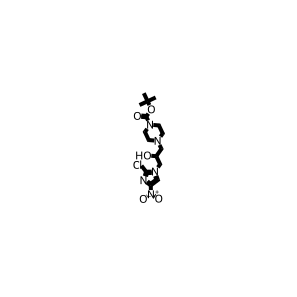 CC(C)(C)OC(=O)N1CCN(CC(O)Cn2cc([N+](=O)[O-])nc2Cl)CC1